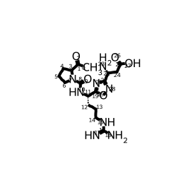 CC(=O)C1CCCN1C(=O)N[C@@H](CCCNC(=N)N)c1nc([C@@H](N)CC(=O)O)no1